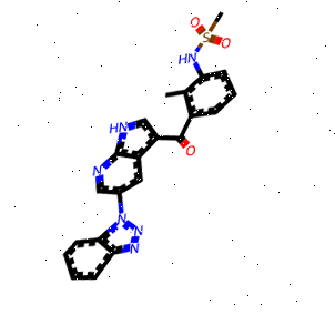 Cc1c(NS(C)(=O)=O)cccc1C(=O)c1c[nH]c2ncc(-n3nnc4ccccc43)cc12